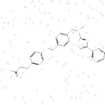 COC(=O)CCc1ccc(OCc2ccc(CN(c3nc(-c4ccccc4)cs3)C(C)C)cc2)cc1